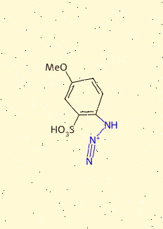 COc1ccc(N[N+]#N)c(S(=O)(=O)O)c1